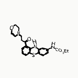 CCOC(=O)Nc1ccc2c(c1)Nc1c(cccc1C(=O)CCN1CCOCC1)S2